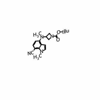 CN(c1ccc(C#N)c2c1ccn2C)C1CN(C(=O)OC(C)(C)C)C1